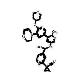 Cc1ncc(NC(O)c2ccnc(C3(C#N)CC3)c2)cc1-c1cnc(OC2CCOCC2)c(N2CCOCC2)c1